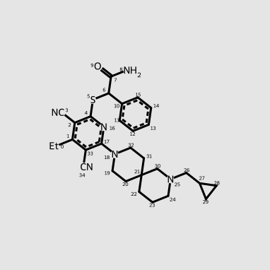 CCc1c(C#N)c(SC(C(N)=O)c2ccccc2)nc(N2CCC3(CCCN(CC4CC4)C3)CC2)c1C#N